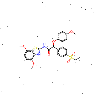 CCS(=O)(=O)c1ccc(C(Oc2ccc(OC)cc2)C(=O)Nc2nc3c(OC)ccc(OC)c3s2)cc1